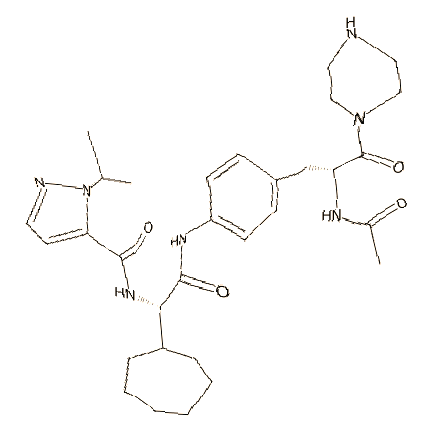 CC(=O)N[C@H](Cc1ccc(NC(=O)[C@@H](NC(=O)c2ccnn2C(C)C)C2CCCCCC2)cc1)C(=O)N1CCNCC1